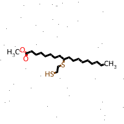 CCCCCCCCCC(CCCCCCCC(=O)OC)SCCS